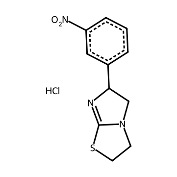 Cl.O=[N+]([O-])c1cccc(C2CN3CCSC3=N2)c1